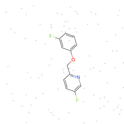 Fc1[c]ccc(OCc2ccc(F)cn2)c1